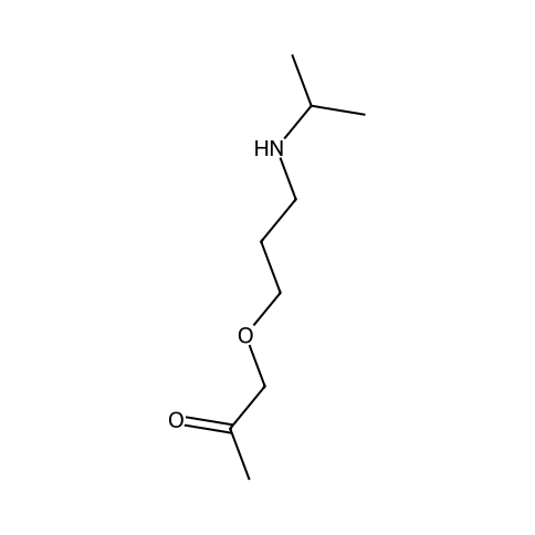 CC(=O)COCCCNC(C)C